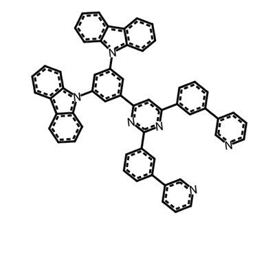 c1cncc(-c2cccc(-c3cc(-c4cc(-n5c6ccccc6c6ccccc65)cc(-n5c6ccccc6c6ccccc65)c4)nc(-c4cccc(-c5cccnc5)c4)n3)c2)c1